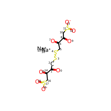 O=C(CSSCC(=O)C(=O)CS(=O)[O-])C(=O)CS(=O)[O-].[Na+].[Na+]